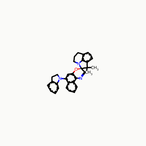 CC1(C)c2cccc3c2N(CCC3)[C@@]12C=Nc1c(cc(N3CCc4ccccc43)c3ccccc13)O2